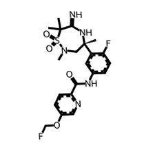 CN1C[C@@](C)(c2cc(NC(=O)c3ccc(OCF)cn3)ccc2F)NC(=N)C(C)(C)S1(=O)=O